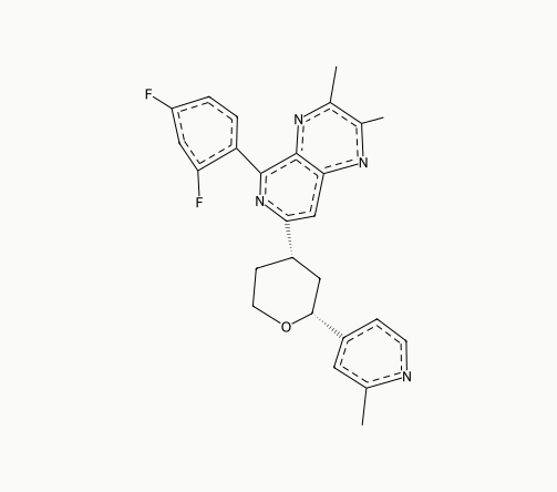 Cc1cc([C@H]2C[C@@H](c3cc4nc(C)c(C)nc4c(-c4ccc(F)cc4F)n3)CCO2)ccn1